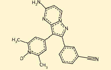 Cc1cc(-c2c(-c3cccc(C#N)c3)nn3ccc(N)nc23)cc(C)[n+]1[O-]